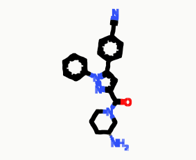 N#Cc1ccc(-c2cc(C(=O)N3CCC[C@@H](N)C3)nn2-c2ccccc2)cc1